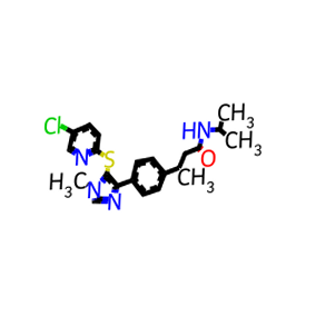 CC(C)NC(=O)CC(C)c1ccc(-c2ncn(C)c2Sc2ccc(Cl)cn2)cc1